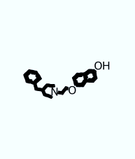 Oc1ccc2cc(OCCN3CCC(Cc4ccccc4)CC3)ccc2c1